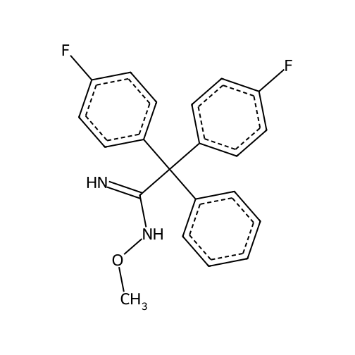 CONC(=N)C(c1ccccc1)(c1ccc(F)cc1)c1ccc(F)cc1